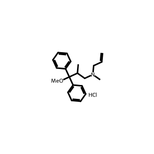 C=CCN(C)CC(C)C(OC)(c1ccccc1)c1ccccc1.Cl